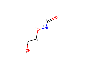 O=CNOCCO